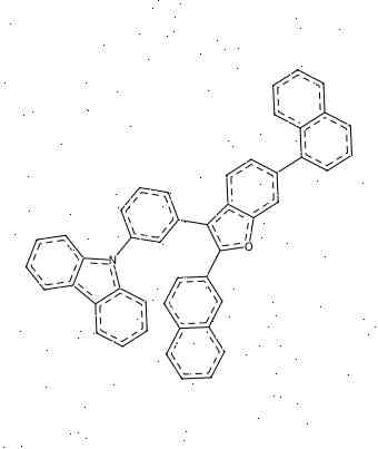 c1cc(-c2c(-c3ccc4ccccc4c3)oc3cc(-c4cccc5ccccc45)ccc23)cc(-n2c3ccccc3c3ccccc32)c1